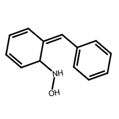 ONC1C=CC=CC1=Cc1ccccc1